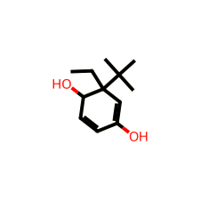 CCC1(C(C)(C)C)C=C(O)C=CC1O